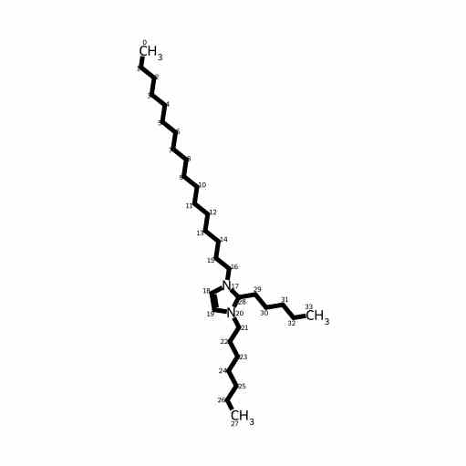 CCCCCCCCCCCCCCCCCN1C=CN(CCCCCCC)C1CCCCC